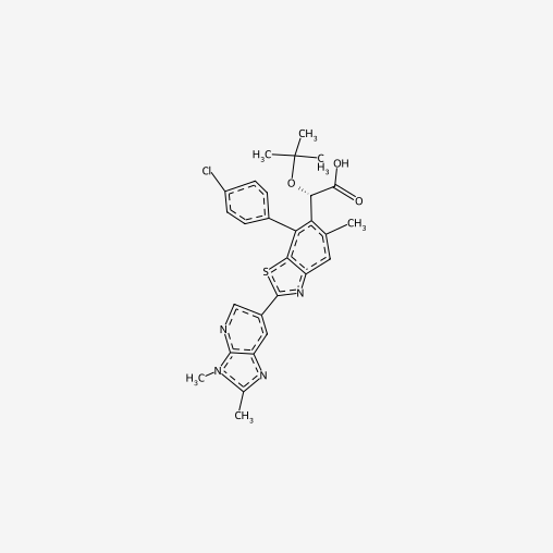 Cc1cc2nc(-c3cnc4c(c3)nc(C)n4C)sc2c(-c2ccc(Cl)cc2)c1[C@H](OC(C)(C)C)C(=O)O